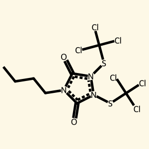 CCCCn1c(=O)n(SC(Cl)(Cl)Cl)n(SC(Cl)(Cl)Cl)c1=O